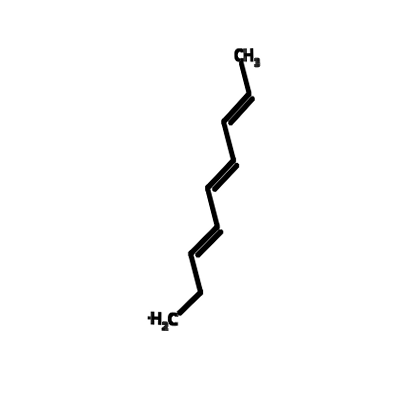 [CH2]C/C=C/C=C/C=C/C